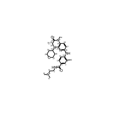 Cc1cc(C(=O)NCCN(C)C)ccc1Nc1ccc2c(n1)N(C1CCOCC1)[C@H](C)C(=O)N2C